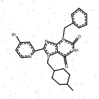 CC1CCC(Cn2c(-c3cc(C(C)C)ccn3)nc3c2c(=O)[nH]c(=O)n3Cc2ccccc2)CC1